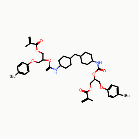 C=C(NC1CCC(CC2CCC(NC(=O)OC(COC(=O)C(=C)C)COc3ccc(C(C)(C)C)cc3)CC2)CC1)OC(COC(=O)C(=C)C)COc1ccc(C(C)(C)C)cc1